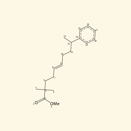 COC(=O)C(C)(C)CC/C=C/CCC(C)c1ccccc1